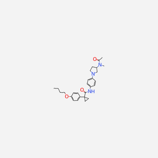 CCCCOc1ccc(C2(C(=O)Nc3ccc(N4CCC(N(C)C(C)=O)C4)cc3)CC2)cc1